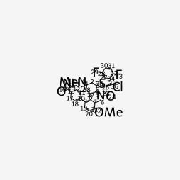 CNC1CCC(N(Cc2cc(-c3ccc(C(N)=O)cc3)ccc2OC)C(=O)c2sc3c(F)ccc(F)c3c2Cl)CC1